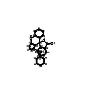 O=C1OC2(c3ccccc3Oc3cccc(Nc4ccccc4)c32)c2ccccc21